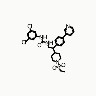 CCS(=O)(=O)N1CCC(C(CNC(=O)Nc2cc(Cl)cc(Cl)c2)c2ccc(-c3cccnc3)cc2)CC1